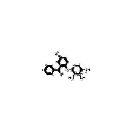 N#Cc1ccc(S[C@@H]2SC[C@@H](O)[C@H](O)[C@H]2O)c(C(O)c2ccccc2)c1